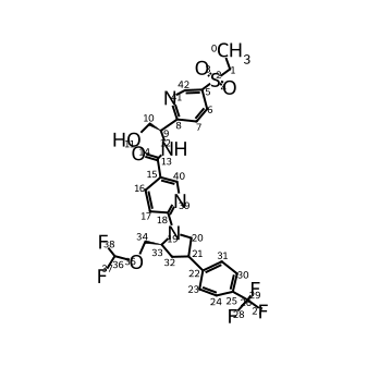 CCS(=O)(=O)c1ccc([C@H](CO)NC(=O)c2ccc(N3CC(c4ccc(C(F)(F)F)cc4)C[C@H]3COC(F)F)nc2)nc1